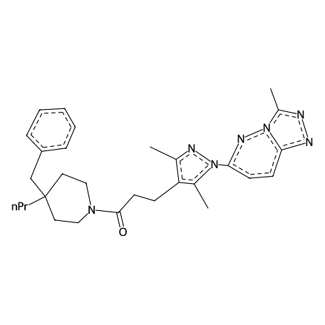 CCCC1(Cc2ccccc2)CCN(C(=O)CCc2c(C)nn(-c3ccc4nnc(C)n4n3)c2C)CC1